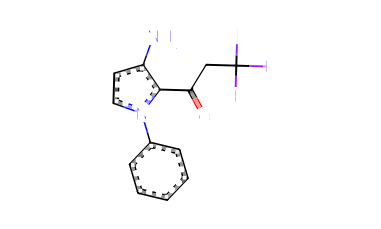 Nc1ccn(-c2ccccc2)c1C(=O)CC(I)(I)I